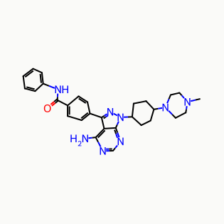 CN1CCN(C2CCC(n3nc(-c4ccc(C(=O)Nc5ccccc5)cc4)c4c(N)ncnc43)CC2)CC1